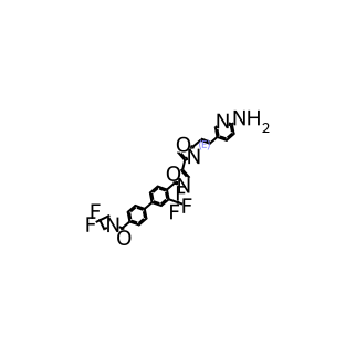 Nc1ccc(/C=C/c2nc(-c3cnc(-c4ccc(-c5ccc(C(=O)N6CC(F)(F)C6)cc5)cc4C(F)(F)F)o3)co2)cn1